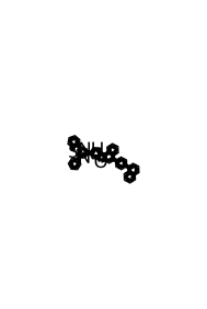 c1ccc(C2=C3Sc4ccccc4C3NC(c3ccc4c(c3)oc3cc(-c5ccc(-c6cccc7ccccc67)cc5)c5ccccc5c34)=N2)cc1